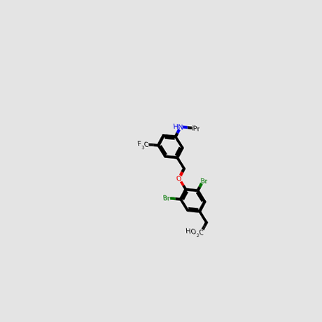 CC(C)Nc1cc(COc2c(Br)cc(CC(=O)O)cc2Br)cc(C(F)(F)F)c1